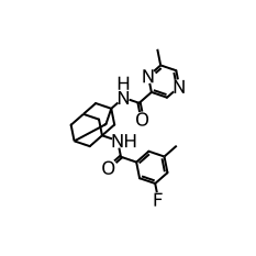 Cc1cc(F)cc(C(=O)NC23CC4CC(C2)CC(NC(=O)c2cncc(C)n2)(C4)C3)c1